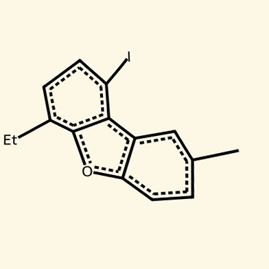 CCc1ccc(I)c2c1oc1ccc(C)cc12